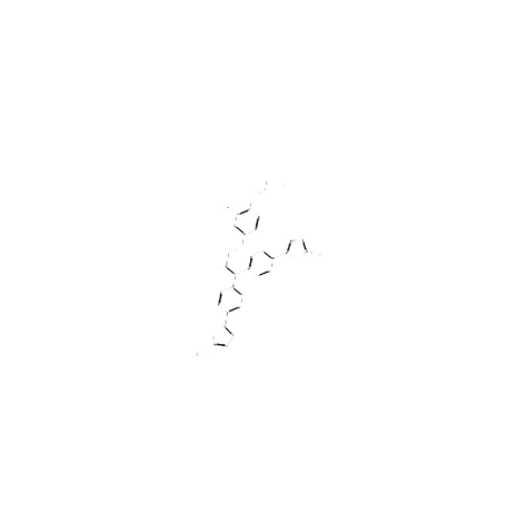 CCC(CSc1ccc(OCC(=O)O)c(Cl)c1)=C(c1ccc(-c2ccc(C(C)=O)s2)cc1)c1ccc(-c2ccc(C(C)=O)s2)cc1